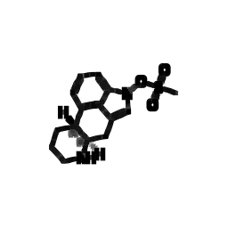 CS(=O)(=O)On1cc2c3c(cccc31)[C@H]1CCCN[C@@H]1C2